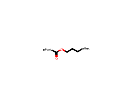 CCCCCCCCCOC(=O)CCCCC